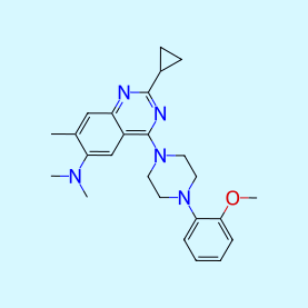 COc1ccccc1N1CCN(c2nc(C3CC3)nc3cc(C)c(N(C)C)cc23)CC1